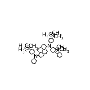 C[Si](C)(C)c1ccc(N(c2ccccc2)c2ccc3ccc4c(N(c5ccc([Si](C)(C)C)cc5)c5ccc6c(c5)[Si](C)(C)c5ccccc5-6)ccc5ccc2c3c54)cc1